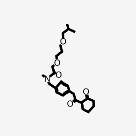 CC(C)COCCCOCC(=O)N(C)Cc1ccc(CC(=O)C2CCCCC2=O)cc1